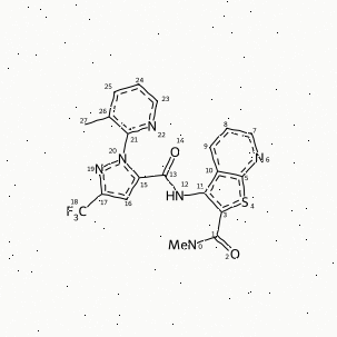 CNC(=O)c1sc2ncccc2c1NC(=O)c1cc(C(F)(F)F)nn1-c1ncccc1C